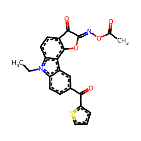 CCn1c2ccc(C(=O)c3cccs3)cc2c2c3c(ccc21)C(=O)/C(=N/OC(C)=O)O3